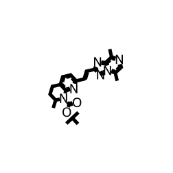 Cc1ncc(C)n2nc(/C=C/c3ccc4c(n3)N(C(=O)OC(C)(C)C)C(C)CC4)nc12